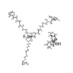 CCCCCCCCCCCCCC(N)(CCCCCCCCCCCCC)CCCCCCCCCCCCC.O=P(O)(Oc1ccccc1)Oc1ccccc1